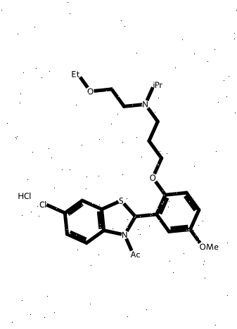 CCOCCN(CCCOc1ccc(OC)cc1C1Sc2cc(Cl)ccc2N1C(C)=O)C(C)C.Cl